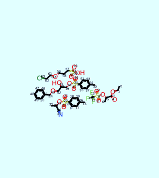 CCOC(=O)C(C)OS(=O)(=O)C(F)(F)F.Cc1ccc(S(=O)(=O)OC(C)C#N)cc1.Cc1ccc(S(=O)(=O)OCC(O)COCc2ccccc2)cc1.O=S(=O)(O)CCCOCCCl